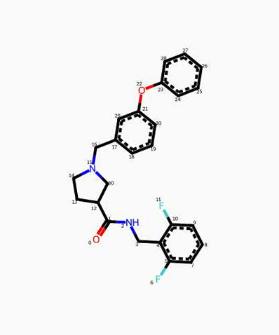 O=C(NCc1c(F)cccc1F)C1CCN(Cc2cccc(Oc3ccccc3)c2)C1